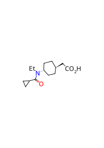 CCN(C(=O)C1CC1)[C@H]1CC[C@H](CC(=O)O)CC1